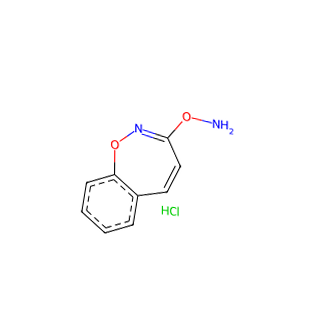 Cl.NOC1=NOc2ccccc2C=C1